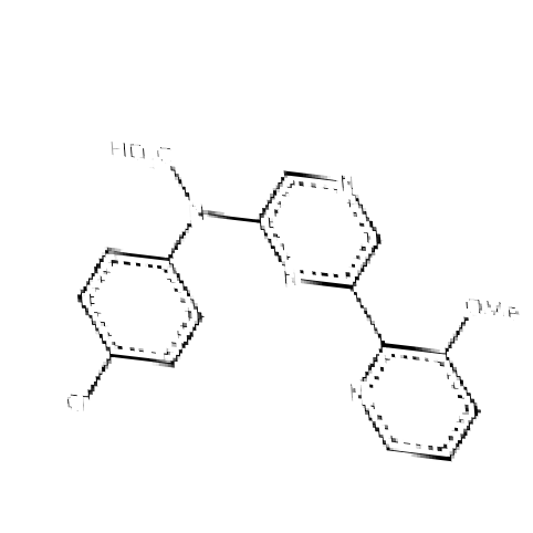 COc1cccnc1-c1cncc(N(C(=O)O)c2ccc(Cl)cc2)n1